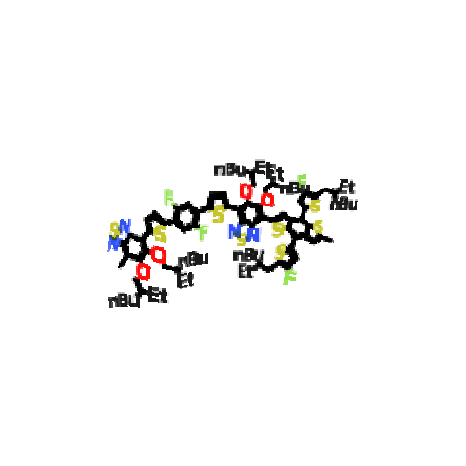 CCCCC(CC)COc1c(OCC(CC)CCCC)c(-c2ccc(-c3cc(F)c(-c4ccc(-c5c(OCC(CC)CCCC)c(OCC(CC)CCCC)c(-c6cc7c(-c8cc(F)c(CC(CC)CCCC)s8)c8sc(C)cc8c(-c8cc(F)c(CC(CC)CCCC)s8)c7s6)c6nsnc56)s4)cc3F)s2)c2nsnc2c1C